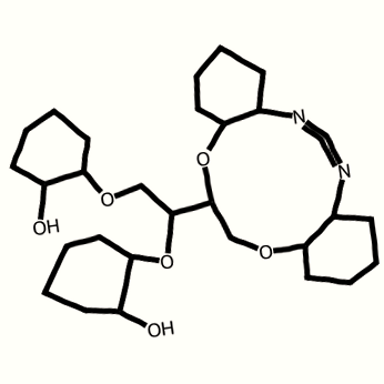 OC1CCCCC1OCC(OC1CCCCC1O)C1COC2CCCCC2N=C=NC2CCCCC2O1